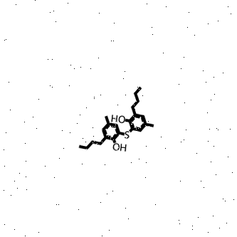 CCCCc1cc(C)cc(Sc2cc(C)cc(CCCC)c2O)c1O